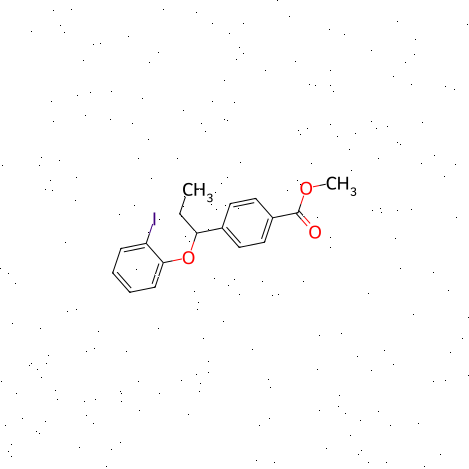 CCC(Oc1ccccc1I)c1ccc(C(=O)OC)cc1